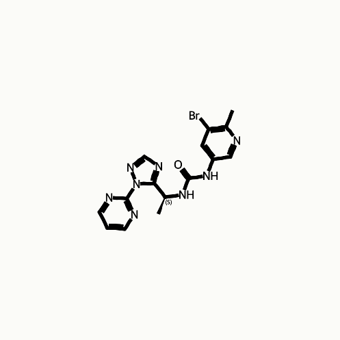 Cc1ncc(NC(=O)N[C@@H](C)c2ncnn2-c2ncccn2)cc1Br